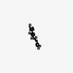 O=C(COc1ccc(Cl)c(F)c1)NC12CCC(c3nc(CCl)no3)(CC1)C(=O)C2